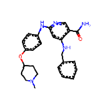 CN1CCC(Oc2ccc(Nc3cc(NCc4ccccc4)c(C(N)=O)cn3)cc2)CC1